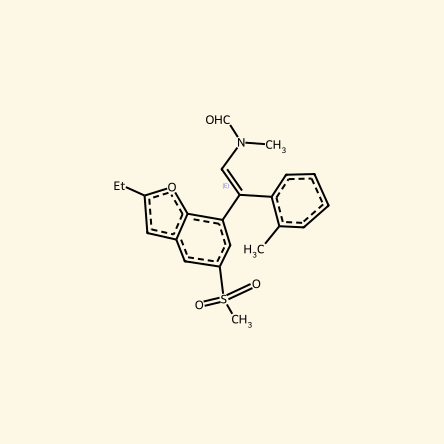 CCc1cc2cc(S(C)(=O)=O)cc(/C(=C/N(C)C=O)c3ccccc3C)c2o1